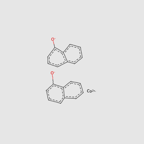 [Co+2].[O-]c1cccc2ccccc12.[O-]c1cccc2ccccc12